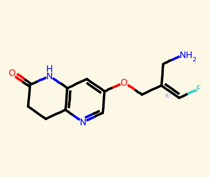 NC/C(=C\F)COc1cnc2c(c1)NC(=O)CC2